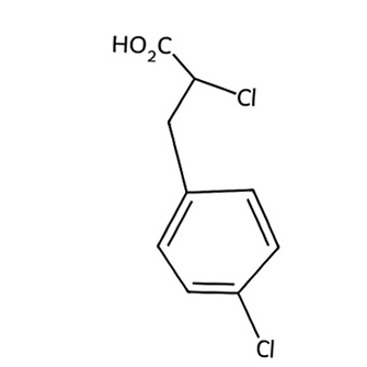 O=C(O)C(Cl)Cc1ccc(Cl)cc1